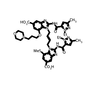 CCn1nc(C)cc1C(=O)Nc1nc2cc(C(=O)O)cc(OCCCN3CCOCC3)c2n1C/C=C/Cn1c(NC(=O)c2cc(C)nn2CC)nc2cc(C(=O)O)cc(SC)c21